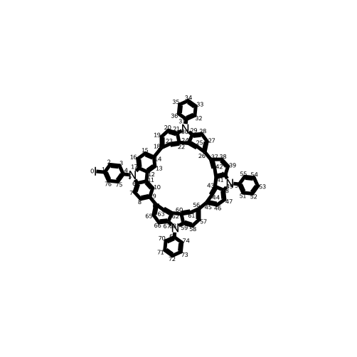 Ic1ccc(-n2c3ccc4cc3c3cc(ccc32)c2ccc3c(c2)c2cc(ccc2n3-c2ccccc2)c2ccc3c(c2)c2cc(ccc2n3-c2ccccc2)c2ccc3c(c2)c2cc4ccc2n3-c2ccccc2)cc1